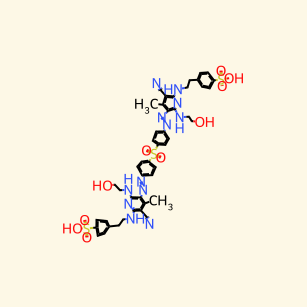 Cc1c(C#N)c(NCCc2ccc(S(=O)(=O)O)cc2)nc(NCCO)c1/N=N/c1ccc(S(=O)(=O)c2ccc(/N=N/c3c(NCCO)nc(NCCc4ccc(S(=O)(=O)O)cc4)c(C#N)c3C)cc2)cc1